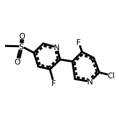 CS(=O)(=O)c1cnc(-c2cnc(Cl)cc2F)c(F)c1